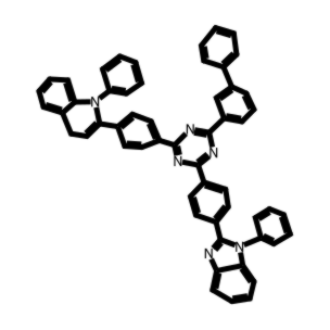 C1=C(c2ccc(-c3nc(-c4ccc(-c5nc6ccccc6n5-c5ccccc5)cc4)nc(-c4cccc(-c5ccccc5)c4)n3)cc2)N(c2ccccc2)c2ccccc2C1